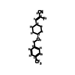 N#CC(F)=C[C@H]1CC[C@H](OCc2ccc(C(F)(F)F)cc2)CC1